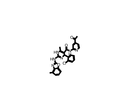 CC(=O)c1ccnc(NC(=O)C2=C(C)NC(Nc3nc4c(C)cccc4o3)=NC2c2ccccc2Cl)c1